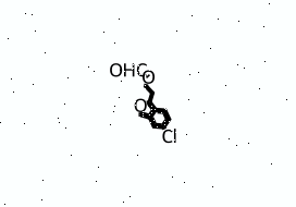 O=[C]OCCc1occ2cc(Cl)ccc12